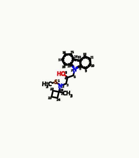 CSN(CC(O)Cn1c2ccccc2c2ccccc21)C1(C)CCC1